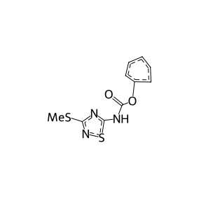 CSc1nsc(NC(=O)Oc2ccccc2)n1